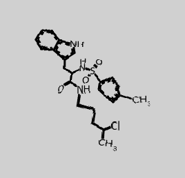 Cc1ccc(S(=O)(=O)NC(Cc2c[nH]c3ccccc23)C(=O)NCCCC(C)Cl)cc1